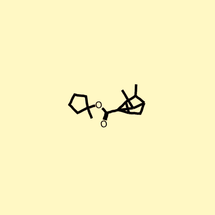 CC1C2CC3C1C3(C(=O)OC1(C)CCCC1)C2C